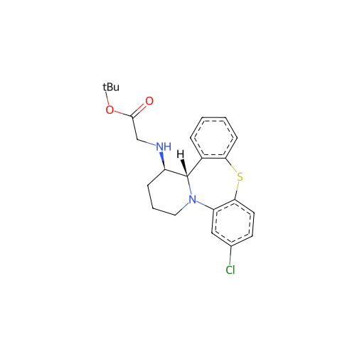 CC(C)(C)OC(=O)CN[C@@H]1CCCN2c3cc(Cl)ccc3Sc3ccccc3[C@@H]12